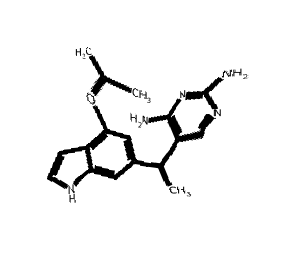 CC(C)Oc1cc(C(C)c2cnc(N)nc2N)cc2[nH]ccc12